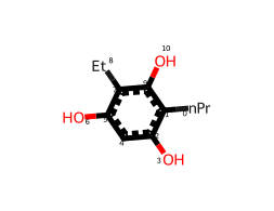 CCCc1c(O)cc(O)c(CC)c1O